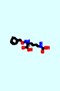 O=C(O)NCCCC[C@H](NOCc1ccccc1)C(=O)O